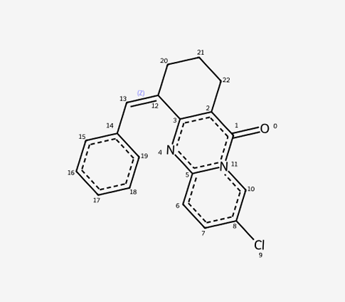 O=c1c2c(nc3ccc(Cl)cn13)/C(=C\c1ccccc1)CCC2